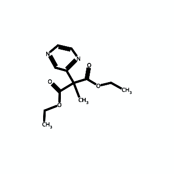 CCOC(=O)C(C)(C(=O)OCC)c1cnccn1